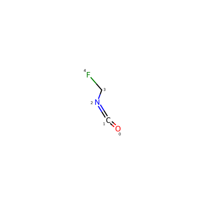 O=C=NCF